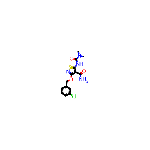 CN(C)C(=O)Nc1snc(OCc2cccc(Cl)c2)c1C(N)=O